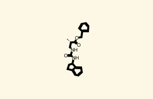 C[C@@H](CNC(=O)NC1CCc2ccccc21)C(=O)OCc1ccccc1